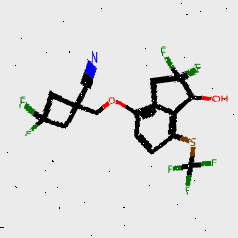 N#CC1(COc2ccc(SC(F)(F)F)c3c2CC(F)(F)C3O)CC(F)(F)C1